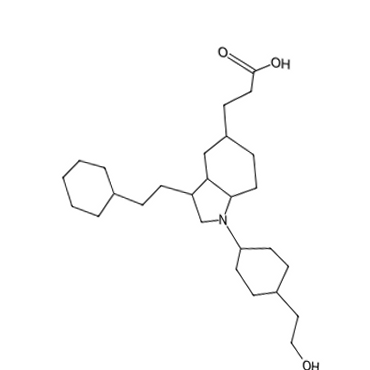 O=C(O)CCC1CCC2C(C1)C(CCC1CCCCC1)CN2C1CCC(CCO)CC1